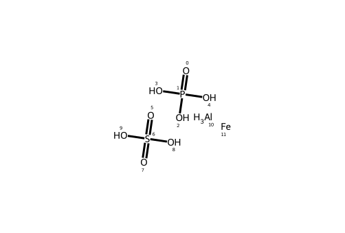 O=P(O)(O)O.O=S(=O)(O)O.[AlH3].[Fe]